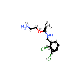 C=C(NCc1cccc(Cl)c1Cl)OCCN